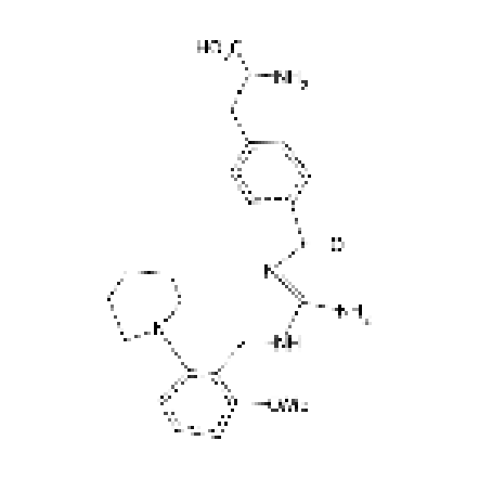 COc1cccc(N2CCCCC2)c1CNC(N)=NC(=O)c1ccc(CC(N)C(=O)O)cc1